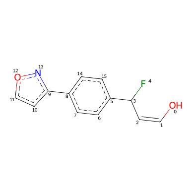 O/C=C\C(F)c1ccc(-c2ccon2)cc1